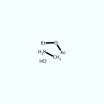 CCOC(C)=O.CN.Cl